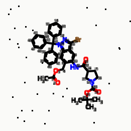 CC(=O)OCc1cc2c(cc1NC(=O)C1CCN(C(=O)OC(C)(C)C)C1)c(Br)nn2C(c1ccccc1)(c1ccccc1)c1ccccc1